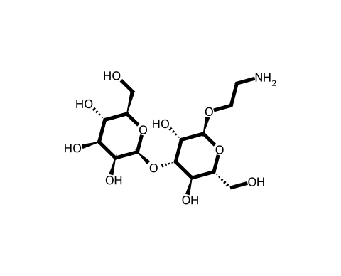 NCCO[C@H]1O[C@H](CO)[C@@H](O)[C@H](O[C@@H]2O[C@H](CO)[C@@H](O)[C@H](O)[C@@H]2O)[C@@H]1O